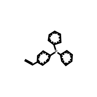 C=Cc1ccc(P(c2ccccc2)c2ccccc2)cc1